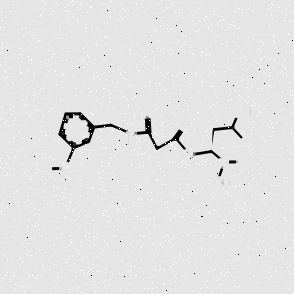 COc1cccc(CNC(=O)CC(=O)N[C@@H](CC(C)C)B(O)O)c1